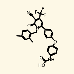 Cc1ccc(Cn2c(-c3ccc(Oc4ccc(NC(=O)O)cc4)cc3)cc(C(F)(F)F)c(C#N)c2=O)c(C)c1